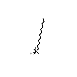 CCCCCCCCCCCC[PH](C)(C)O